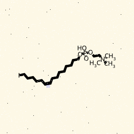 C[N+](C)(C)CCOP(=O)(O)OCCCCCCCC/C=C\CCCCCI